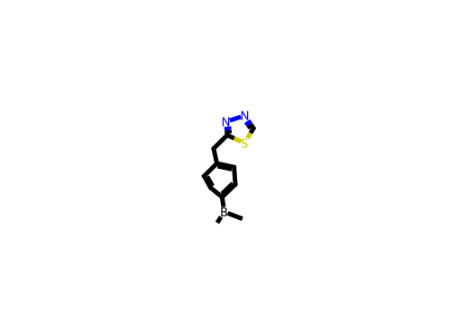 CB(C)c1ccc(Cc2nncs2)cc1